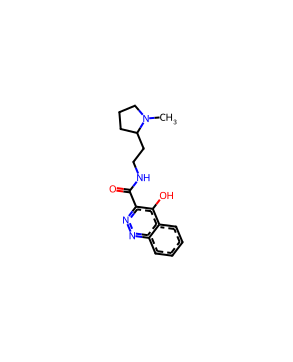 CN1CCCC1CCNC(=O)c1nnc2ccccc2c1O